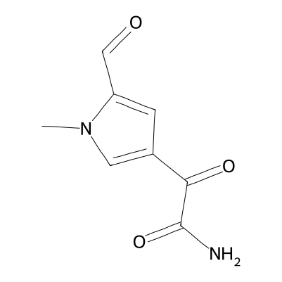 Cn1cc(C(=O)C(N)=O)cc1C=O